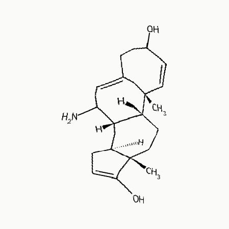 C[C@]12C=CC(O)CC1=CC(N)[C@@H]1[C@H]2CC[C@]2(C)C(O)=CC[C@@H]12